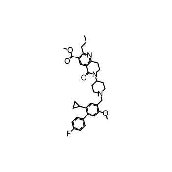 CCCc1nc2c(cc1C(=O)OC)C(=O)N(C1CCN(Cc3cc(C4CC4)c(-c4ccc(F)cc4)cc3OC)CC1)CC2